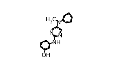 CN(c1ccccc1)c1cnc(Nc2cccc(O)c2)nc1